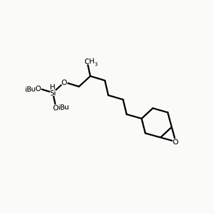 CC(C)CO[SiH](OCC(C)C)OCC(C)CCCCC1CCC2OC2C1